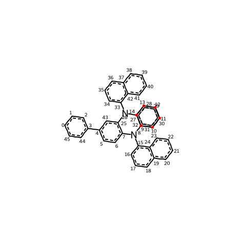 c1ccc(-c2ccc(N(c3ccccc3)c3cccc4ccccc34)c(N(c3ccccc3)c3cccc4ccccc34)c2)cc1